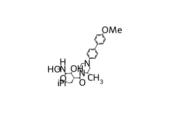 COc1ccc(-c2ccc(N3CCN(C(=O)[C@@H](CC(C)C)[C@H](O)C(=O)NO)[C@H](C)C3)cc2)cc1